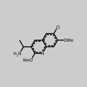 COc1cc2nc(OC)c(C(C)N)cc2cc1Cl